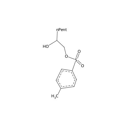 CCCCCC(O)COS(=O)(=O)c1ccc(C)cc1